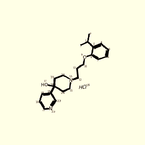 CC(C)c1ccccc1OCCCN1CCC(O)(c2cccnc2)CC1.Cl